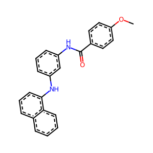 COc1ccc(C(=O)Nc2cccc(Nc3cccc4ccccc34)c2)cc1